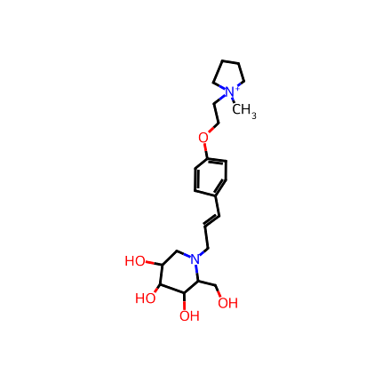 C[N+]1(CCOc2ccc(C=CCN3CC(O)C(O)C(O)C3CO)cc2)CCCC1